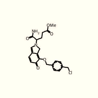 COC(=O)CCC(C(N)=O)N1C=C2C=CC(=O)C(OCc3ccc(CCl)cc3)=C2C1